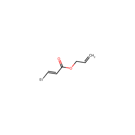 C=CCOC(=O)/C=C/CC